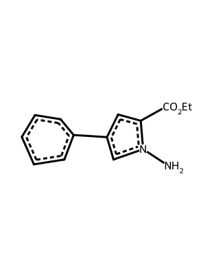 CCOC(=O)c1cc(-c2ccccc2)cn1N